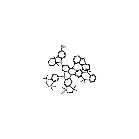 CC(C)(C)c1ccc2c(c1)C1(C)CCCCC1(C)N2c1cc2c3c(c1)N(c1cccc4sc5ccccc5c14)c1cc4c(cc1B3c1cc3c(cc1N2c1ccc2c(c1)C(C)(C)CCC2(C)C)C(C)(C)CCC3(C)C)C(C)(C)c1ccccc1C4(C)C